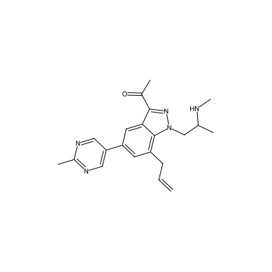 C=CCc1cc(-c2cnc(C)nc2)cc2c(C(C)=O)nn(CC(C)NC)c12